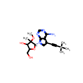 COC1(C)C(O)C(CO)O[C@H]1n1cc(C#C[Si](C)(C)C)c2c(N)ncnc21